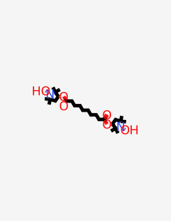 CC1(C)CC(OC(=O)CCCCCCCCC(=O)OC2CC(C)(C)N(O)C2(C)C)C(C)(C)N1O